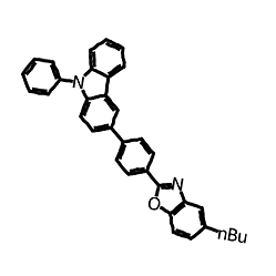 CCCCc1ccc2oc(-c3ccc(-c4ccc5c(c4)c4ccccc4n5-c4ccccc4)cc3)nc2c1